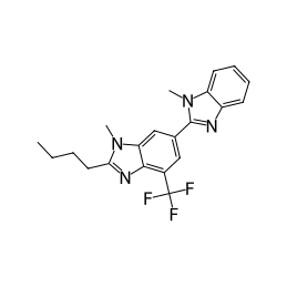 CCCCc1nc2c(C(F)(F)F)cc(-c3nc4ccccc4n3C)cc2n1C